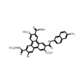 CNC(=O)c1cc2c(cc1C(=O)O)c1cc(C(=O)N(C)O)c(C(C)=O)cc1c1cc(C(=O)O)c(C(=O)Nc3ccc4cc(C)ccc4c3)cc12